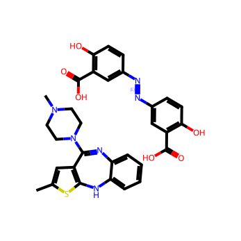 Cc1cc2c(s1)Nc1ccccc1N=C2N1CCN(C)CC1.O=C(O)c1cc(/N=N/c2ccc(O)c(C(=O)O)c2)ccc1O